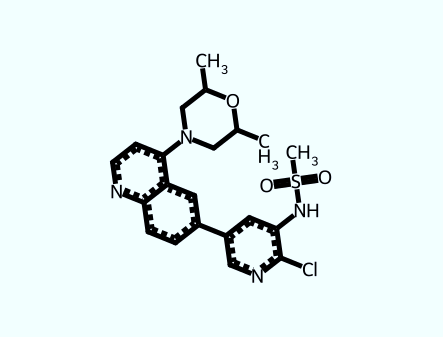 CC1CN(c2ccnc3ccc(-c4cnc(Cl)c(NS(C)(=O)=O)c4)cc23)CC(C)O1